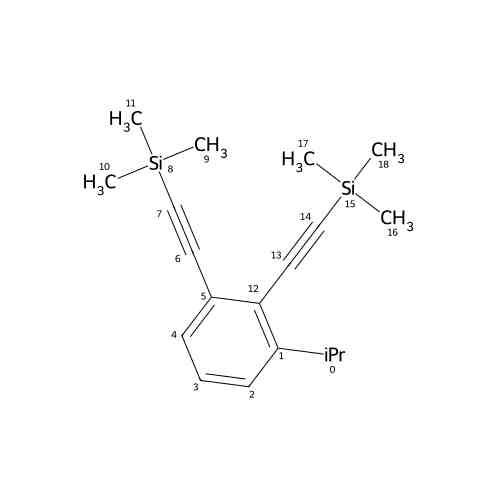 CC(C)c1cccc(C#C[Si](C)(C)C)c1C#C[Si](C)(C)C